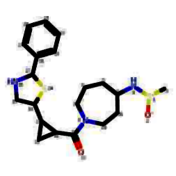 C[S+]([O-])NC1CCCN(C(=O)C2CC2C2CNC(c3ccccc3)S2)CC1